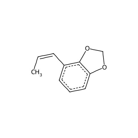 C/C=C\c1cccc2c1OCO2